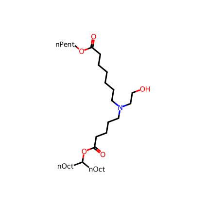 CCCCCCCCC(CCCCCCCC)OC(=O)CCCCN(CCO)CCCCCCC(=O)OCCCCC